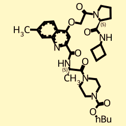 CCCCOC(=O)N1CCN(C(=O)[C@H](C)NC(=O)c2cc(OCC(=O)N3CCC[C@H]3C(=O)NC3CCC3)c3ccc(C)cc3n2)CC1